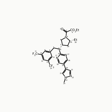 CCOC(=O)C(=O)N1C[C@@H](N(Cc2cc(C(F)(F)F)cc(C(F)(F)F)c2)c2ncc(-c3cnn(C)c3)cn2)C[C@H]1CC